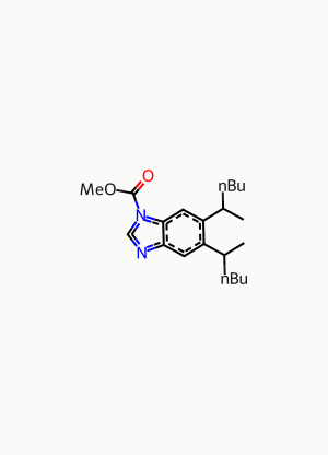 CCCCC(C)c1cc2ncn(C(=O)OC)c2cc1C(C)CCCC